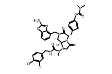 CN(C)C(=O)Oc1ccc(C[C@H]2C(=O)N(Cc3cccc4sc(N)nc34)C[C@H]3N2C(=O)CN3N(C)C(=O)NCc2ccc(Cl)c(Cl)c2)cc1